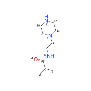 CC(C)C(=O)NCCN1CCNCC1